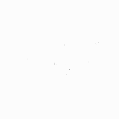 COc1cc(F)cc(-c2ccnc3[nH]c(-c4n[nH]c5ccc(-c6cccc(NC(=O)C(C)(C)C)c6)nc45)cc23)c1